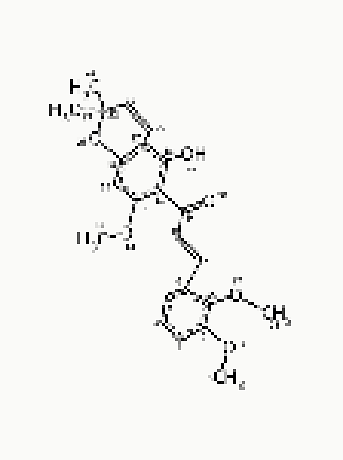 COc1cccc(/C=C/C(=O)c2c(OC)cc3c(c2O)C=CC(C)(C)O3)c1OC